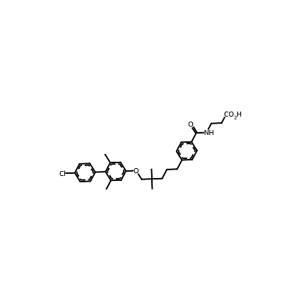 Cc1cc(OCC(C)(C)CCCc2ccc(C(=O)NCCC(=O)O)cc2)cc(C)c1-c1ccc(Cl)cc1